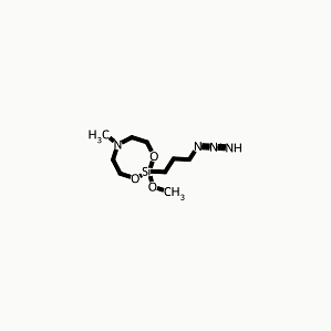 CO[Si]1(CCCN=[N+]=N)OCCN(C)CCO1